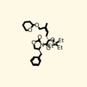 CC[Si](CC)(CC)O[C@@H](C/C=C(/C)COC1CCCCO1)C(=O)N1C(=O)OC[C@@H]1Cc1ccccc1